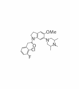 COc1cc2c(cc1N1CC(C)N(C)C(C)C1)N(C(=O)Cc1cccc(F)c1Cl)CC2